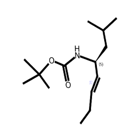 CC/C=C/[C@H](CC(C)C)NC(=O)OC(C)(C)C